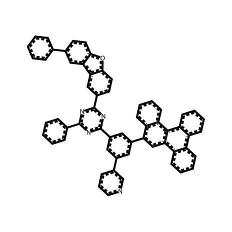 c1ccc(-c2ccc3oc4ccc(-c5nc(-c6ccccc6)nc(-c6cc(-c7cccnc7)cc(-c7cc8c9ccccc9c9ccccc9c8c8ccccc78)c6)n5)cc4c3c2)cc1